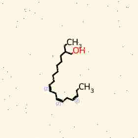 CC/C=C\C/C=C\C/C=C\CCCCCCC(CC)CO